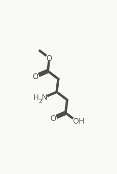 COC(=O)CC(N)CC(=O)O